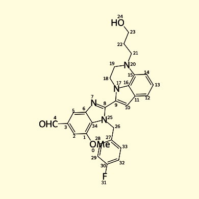 COc1cc(C=O)cc2nc(-c3cc4cccc5c4n3CCN5CCCO)n(Cc3ccc(F)cc3)c12